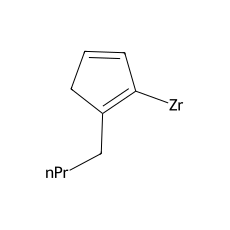 CCCCC1=[C]([Zr])C=CC1